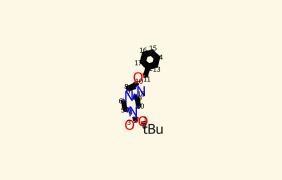 CC(C)(C)OC(=O)N1CCn2cc(OCc3ccccc3)nc2C1